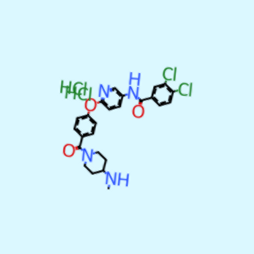 CNC1CCN(C(=O)c2ccc(Oc3ccc(NC(=O)c4ccc(Cl)c(Cl)c4)cn3)cc2)CC1.Cl.Cl